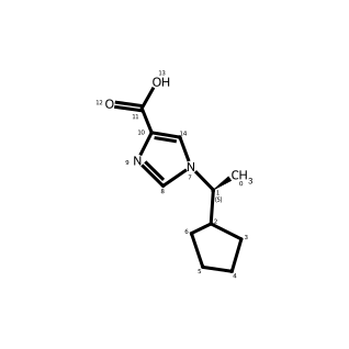 C[C@@H](C1CCCC1)n1cnc(C(=O)O)c1